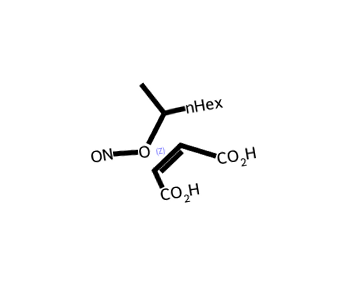 CCCCCCC(C)ON=O.O=C(O)/C=C\C(=O)O